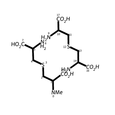 CNC(CSCC(N)C(=O)O)C(=O)O.NC(CSCC(N)C(=O)O)C(=O)O